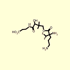 CC(C)(COC(=O)C(N)(CCCN)C(F)F)C(O)C(=O)NCCC(=O)O